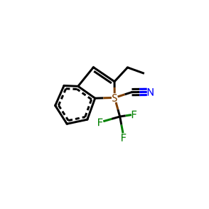 CCC1=Cc2ccccc2S1(C#N)C(F)(F)F